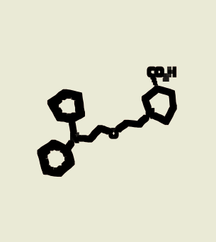 O=C(O)[C@@H]1CCCN(CCOCCN(c2ccccc2)c2ccccc2)C1